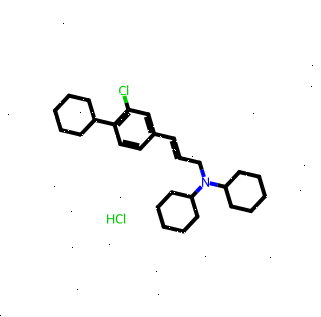 Cl.Clc1cc(C=CCN(C2CCCCC2)C2CCCCC2)ccc1C1CCCCC1